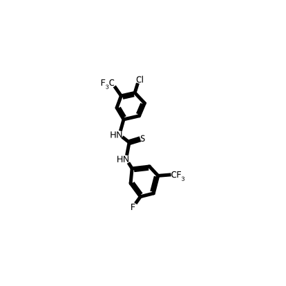 Fc1cc(NC(=S)Nc2ccc(Cl)c(C(F)(F)F)c2)cc(C(F)(F)F)c1